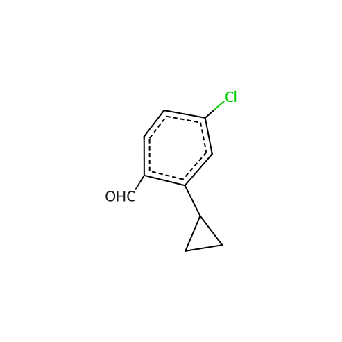 O=Cc1ccc(Cl)cc1C1CC1